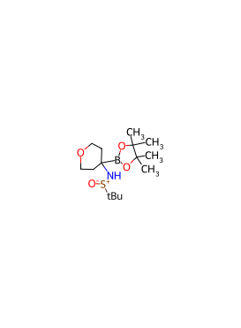 CC(C)(C)[S+]([O-])NC1(B2OC(C)(C)C(C)(C)O2)CCOCC1